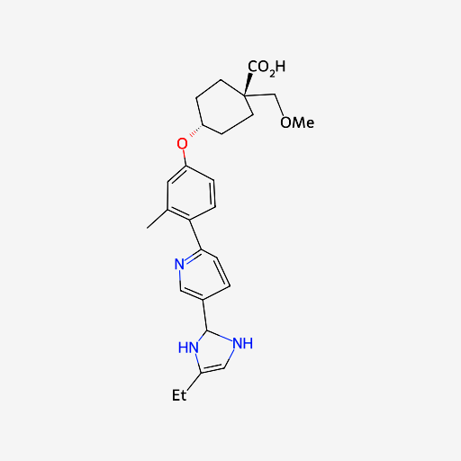 CCC1=CNC(c2ccc(-c3ccc(O[C@H]4CC[C@](COC)(C(=O)O)CC4)cc3C)nc2)N1